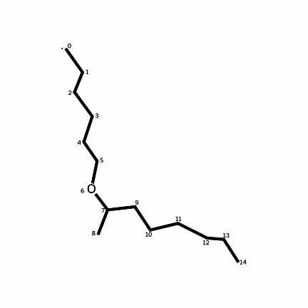 [CH2]CCCCCOC(C)CCCCCC